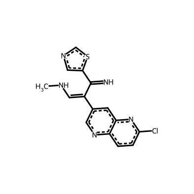 CN/C=C(\C(=N)c1cncs1)c1cnc2ccc(Cl)nc2c1